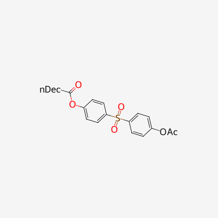 CCCCCCCCCCC(=O)Oc1ccc(S(=O)(=O)c2ccc(OC(C)=O)cc2)cc1